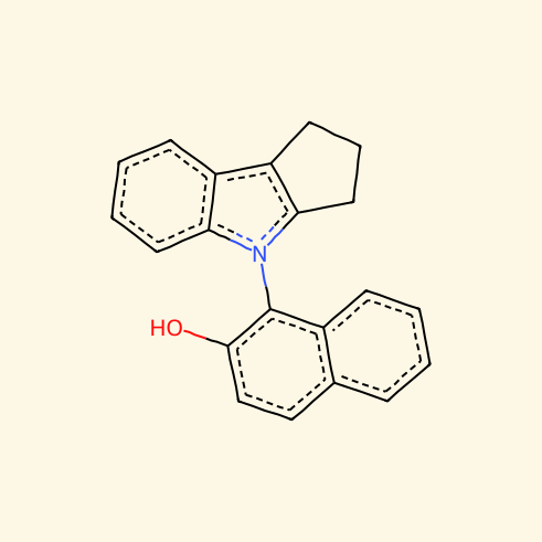 Oc1ccc2ccccc2c1-n1c2c(c3ccccc31)CCC2